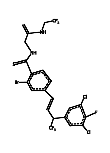 C=C(CNC(=S)c1ccc(/C=C/C(c2cc(Cl)c(F)c(Cl)c2)C(F)(F)F)cc1Br)NCC(F)(F)F